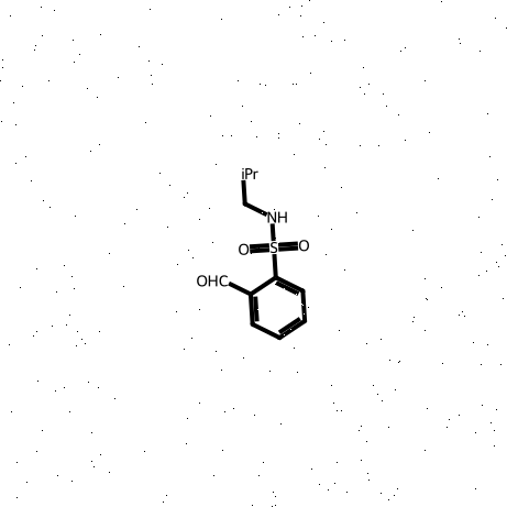 CC(C)CNS(=O)(=O)c1ccccc1C=O